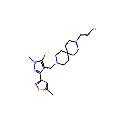 Cc1cc(-c2nn(C)c(Cl)c2CN2CCC3(CCN(CCC(C)C)CC3)CC2)no1